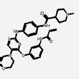 C=CC(=O)Nc1cccc(Oc2nc(Nc3ccc(NC(=O)C4CCN(C)CC4)cc3)ncc2N2CCOCC2)c1